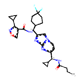 O=C(CCC(F)(F)F)N[C@H](c1ccn2cc([C@@H](NC(=O)c3conc3C3CC3)C3CCC(F)(F)CC3)nc2n1)C1CC1